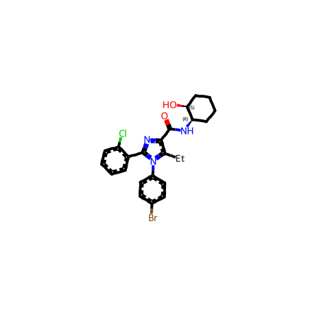 CCc1c(C(=O)N[C@@H]2CCCC[C@@H]2O)nc(-c2ccccc2Cl)n1-c1ccc(Br)cc1